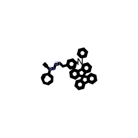 C#C/C(=C\C=C/Cc1ccc(N(c2ccccc2)c2cccc3c2-c2ccccc2C32c3ccccc3-c3ccccc32)cc1)C1=CC=CCC#C1